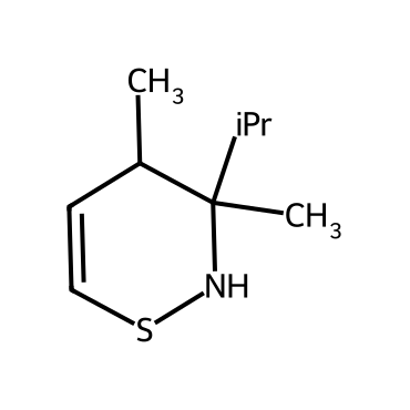 CC(C)C1(C)NSC=CC1C